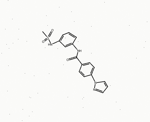 CS(=O)(=O)Nc1cccc(NC(=O)c2ccc(-n3cccn3)cc2)c1